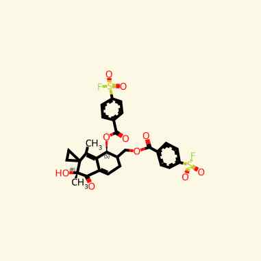 CC1=C2C(=CCC(COC(=O)c3ccc(S(=O)(=O)F)cc3)[C@@H]2OC(=O)c2ccc(S(=O)(=O)F)cc2)C(=O)[C@](C)(O)C12CC2